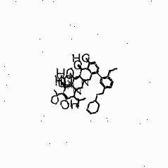 CCc1ccc(CCC2CCCCC2)cc1-c1ccc(O)c2c1C[C@]1(C)C[C@]3(C)C(C(C)C)C(O)=C(C(C)=O)C(=O)[C@]3(O)C(O)=C1C2=O